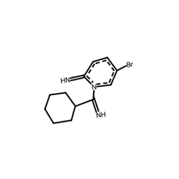 N=C(C1CCCCC1)n1cc(Br)ccc1=N